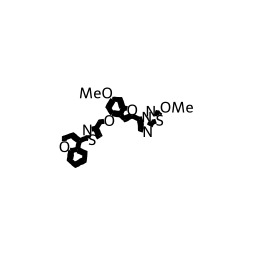 COc1cc(OCc2csc(C3=CCOc4ccccc43)n2)c2cc(-c3cnc4sc(OC)nn34)oc2c1